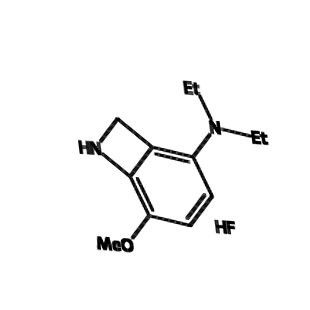 CCN(CC)c1ccc(OC)c2c1CN2.F